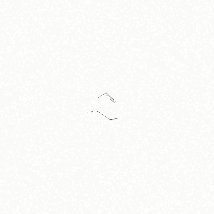 C=COC(C)=O.CC(=O)CCC(=O)O